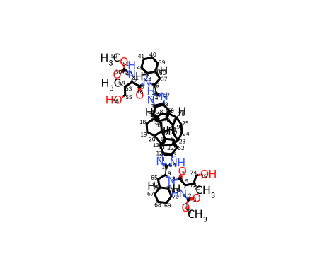 COC(=O)N[C@H](C(=O)N1[C@H](c2nc3cc([C@@H]4C[C@H]5CCC4CCC4CC[C@H](CC5)[C@H](c5ccc6[nH]c([C@@H]7C[C@@H]8CCCC[C@@H]8N7C(=O)[C@@H](NC(=O)OC)[C@@H](C)CO)nc6c5)C4)ccc3[nH]2)C[C@@H]2CCCC[C@@H]21)[C@@H](C)CO